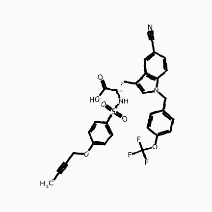 CC#CCOc1ccc(S(=O)(=O)N[C@@H](Cc2cn(Cc3ccc(OC(F)(F)F)cc3)c3ccc(C#N)cc23)C(=O)O)cc1